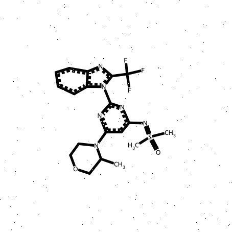 CC1COCCN1c1cc(N=S(C)(C)=O)nc(-n2c(C(F)(F)F)nc3ccccc32)n1